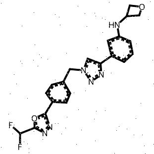 FC(F)c1nnc(-c2ccc(Cn3cc(-c4cccc(NC5COC5)c4)nn3)cc2)o1